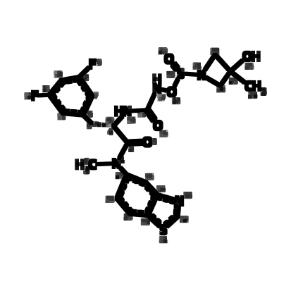 CN(C(=O)[C@H](Cc1cc(F)cc(F)c1)NC(=O)NOS(=O)N1CC(C)(O)C1)c1ccc2scnc2c1